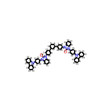 O=c1n(-c2ccc(-c3cccc(-c4ccc(-n5c(=O)n(-c6ccc(-n7c8ccccc8c8ccccc87)cc6)c6ccccc65)cc4)c3)cc2)c2ccccc2n1-c1ccc(-n2c3ccccc3c3ccccc32)cc1